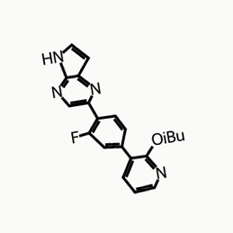 CC(C)COc1ncccc1-c1ccc(-c2cnc3[nH]ccc3n2)c(F)c1